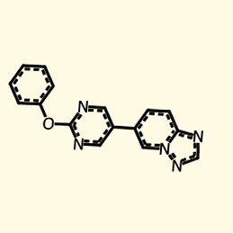 c1ccc(Oc2ncc(-c3ccc4ncnn4c3)cn2)cc1